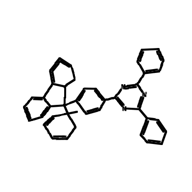 CC1(C2(c3ccc(-c4nc(-c5ccccc5)nc(-c5ccccc5)n4)cc3)c3ccccc3C3=C=C=CCC32)C=CC=CC1